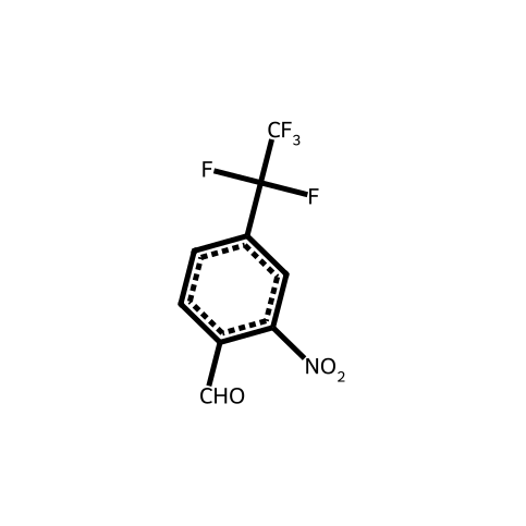 O=Cc1ccc(C(F)(F)C(F)(F)F)cc1[N+](=O)[O-]